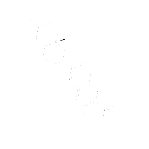 COC(=O)c1cc2ccc(C3CC[C@H]4CC(C)CC[C@@H]4C3)cc2cc1F